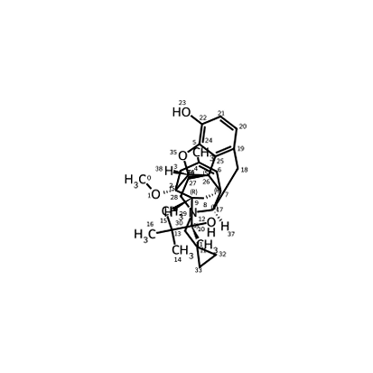 CO[C@@]12CC(C)=C[C@@]3(C[C@@H]1[C@](C)(O)C(C)(C)C)[C@H]1Cc4ccc(O)c5c4[C@@]3(CCN1CC1CC1)[C@H]2O5